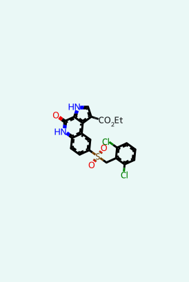 CCOC(=O)c1c[nH]c2c(=O)[nH]c3ccc(S(=O)(=O)Cc4c(Cl)cccc4Cl)cc3c12